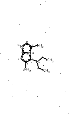 CCN(CC)n1c(N)nc2ncc(N)n21